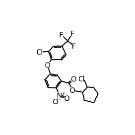 O=C(OC1CCCCC1Cl)c1cc(Oc2ccc(C(F)(F)F)cc2Cl)ccc1[N+](=O)[O-]